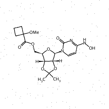 COC1(C(=O)OC[C@H]2O[C@@H](n3ccc(NO)nc3=O)[C@@H]3OC(C)(C)O[C@@H]32)CCC1